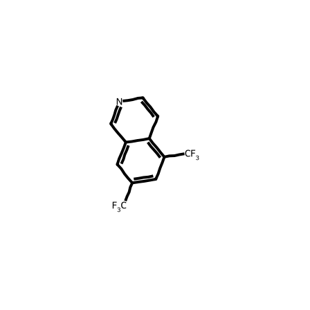 FC(F)(F)c1cc(C(F)(F)F)c2ccncc2c1